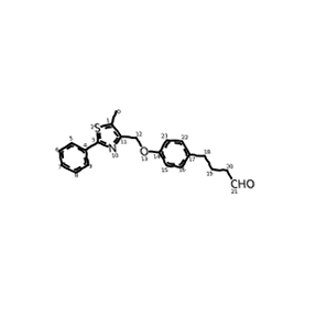 Cc1sc(-c2ccccc2)nc1COc1ccc(CCCC=O)cc1